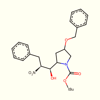 CC(C)(C)OC(=O)N1CC(OCc2ccccc2)CC1[C@@H](O)[C@H](Cc1ccccc1)[N+](=O)[O-]